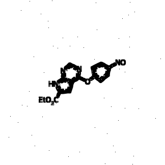 CCOC(=O)c1cc2c(Oc3ccc(N=O)cc3)ncnc2[nH]1